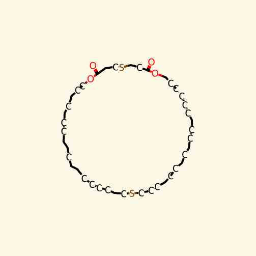 O=C1CCSCCC(=O)OCCCCCCCCCCCCCCCCCCSCCCCCCCCCCCCCCCCCCO1